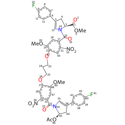 COC(=O)[C@@H]1CC(c2ccc(F)cc2)=CN1C(=O)c1cc(OC)c(OCCCOc2cc([N+](=O)[O-])c(C(=O)N3C=C(c4ccc(F)cc4)C[C@H]3OC(C)=O)cc2OC)cc1[N+](=O)[O-]